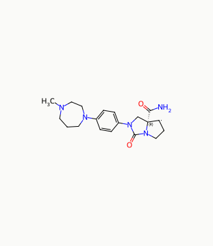 CN1CCCN(c2ccc(N3C[C@@]4(C(N)=O)[CH]CCN4C3=O)cc2)CC1